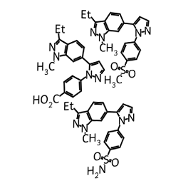 CCc1nn(C)c2cc(-c3ccnn3-c3ccc(C(=O)O)cc3)ccc12.CCc1nn(C)c2cc(-c3ccnn3-c3ccc(S(C)(=O)=O)cc3)ccc12.CCc1nn(C)c2cc(-c3ccnn3-c3ccc(S(N)(=O)=O)cc3)ccc12